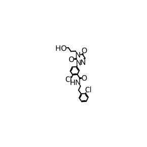 O=C(NCCc1ccccc1Cl)c1cc(-n2ncc(=O)n(CCCO)c2=O)ccc1Cl